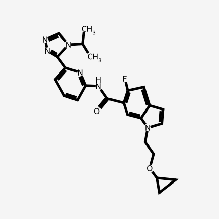 CC(C)n1cnnc1-c1cccc(NC(=O)c2cc3c(ccn3CCOC3CC3)cc2F)n1